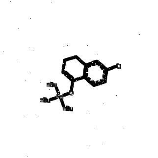 CCC[CH2][Sn]([CH2]CCC)([CH2]CCC)[O]C1=CCCc2cc(Cl)ccc21